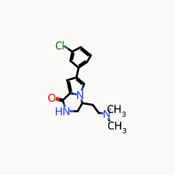 CN(C)CCC1CNC(=O)c2cc(-c3cccc(Cl)c3)cn21